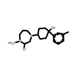 CCC1CN(C2CCC(C#N)(c3cccc(C)c3)CC2)CCCN1C(=O)O